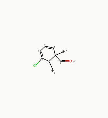 [2H]C1C(Cl)=CC=CC1([2H])C=O